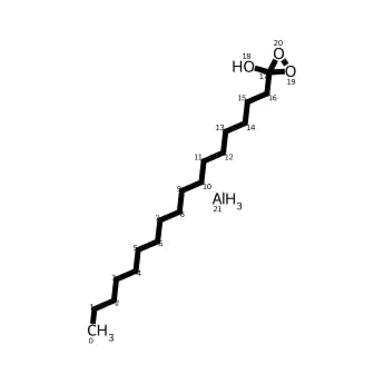 CCCCCCCCCCCCCCCCCC1(O)OO1.[AlH3]